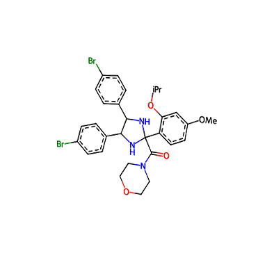 COc1ccc(C2(C(=O)N3CCOCC3)NC(c3ccc(Br)cc3)C(c3ccc(Br)cc3)N2)c(OC(C)C)c1